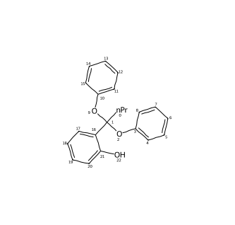 CCCC(Oc1ccccc1)(Oc1ccccc1)c1ccccc1O